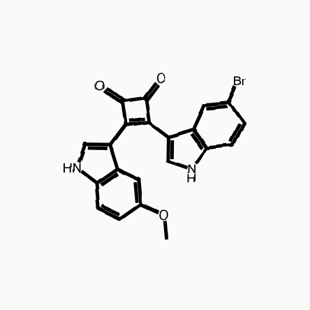 COc1ccc2[nH]cc(-c3c(-c4c[nH]c5ccc(Br)cc45)c(=O)c3=O)c2c1